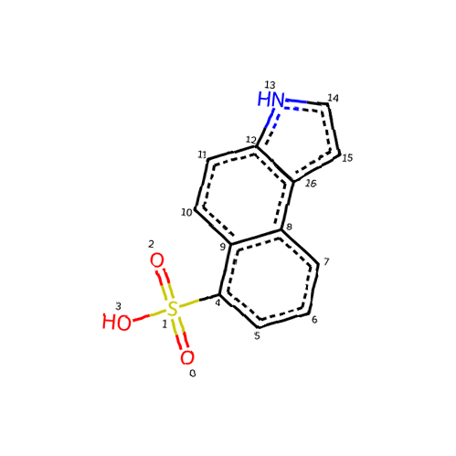 O=S(=O)(O)c1cccc2c1ccc1[nH]ccc12